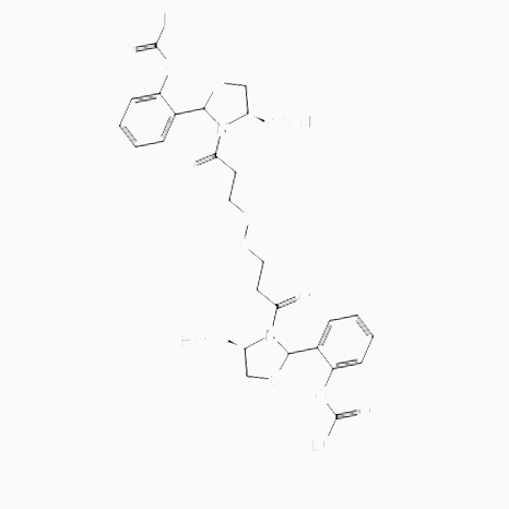 CCC(=O)Oc1ccccc1C1SC[C@@H](C(=O)O)N1C(=O)CCSSCCC(=O)N1C(c2ccccc2OC(=O)CC)SC[C@H]1C(=O)O